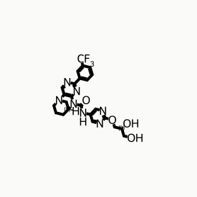 O=C(Nc1cnc(OC[C@H](O)CO)nc1)N1c2nc(-c3cccc(C(F)(F)F)c3)ncc2N2CCC[C@H]1C2